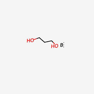 OCCCO.[B]